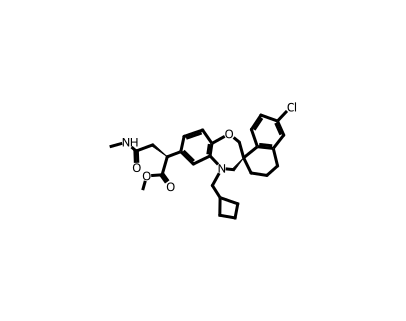 CNC(=O)C[C@H](C(=O)OC)c1ccc2c(c1)N(CC1CCC1)C[C@@]1(CCCc3cc(Cl)ccc31)CO2